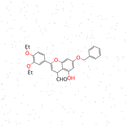 CCOc1ccc(C2=CC(C=O)c3c(O)cc(OCc4ccccc4)cc3O2)cc1OCC